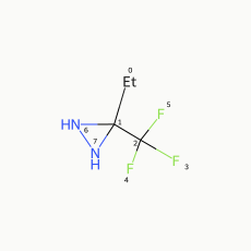 CCC1(C(F)(F)F)NN1